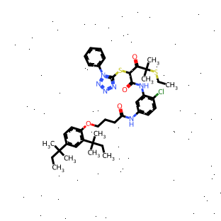 CCSC(C)(C)C(=O)C(Sc1nnnn1-c1ccccc1)C(=O)Nc1cc(NC(=O)CCCOc2ccc(C(C)(C)CC)cc2C(C)(C)CC)ccc1Cl